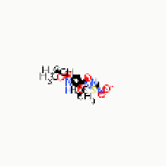 CCOc1cc(NC(=O)OC(C)(C)C)ccc1C(=O)N(C)c1ncc([N+](=O)[O-])s1